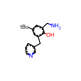 CC(C)(C)c1cc(CN)c(O)c(Cc2cccnc2)c1